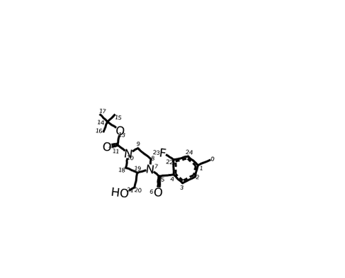 Cc1ccc(C(=O)N2CCN(C(=O)OC(C)(C)C)CC2CO)c(F)c1